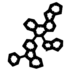 c1ccc(-n2c3ccccc3c3cc(-c4c(-c5csc6ccccc56)c5ccc6c7ccccc7sc6c5c5ccccc45)ccc32)cc1